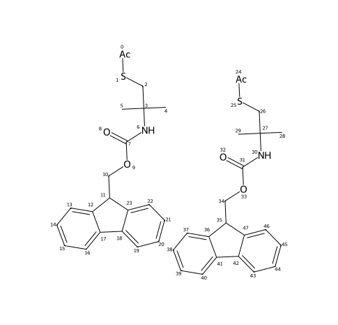 CC(=O)SCC(C)(C)NC(=O)OCC1c2ccccc2-c2ccccc21.CC(=O)SCC(C)(C)NC(=O)OCC1c2ccccc2-c2ccccc21